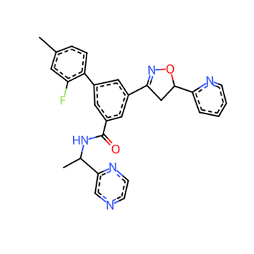 Cc1ccc(-c2cc(C(=O)NC(C)c3cnccn3)cc(C3=NOC(c4ccccn4)C3)c2)c(F)c1